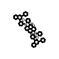 Cc1cc2ccc(N(c3ccccc3)c3cccc4c3oc3c(-c5ccccc5)cc5ccccc5c34)c3c(C)cc4ccc(N(c5ccccc5)c5cccc6c5oc5c(-c7ccccc7)cc7ccccc7c56)c1c4c23